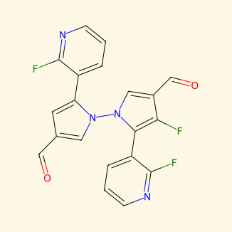 O=Cc1cc(-c2cccnc2F)n(-n2cc(C=O)c(F)c2-c2cccnc2F)c1